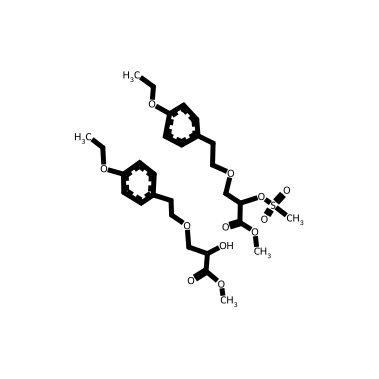 CCOc1ccc(CCOCC(O)C(=O)OC)cc1.CCOc1ccc(CCOCC(OS(C)(=O)=O)C(=O)OC)cc1